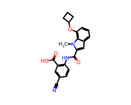 Cn1c(C(=O)Nc2ccc(C#N)cc2C(=O)O)cc2cccc(OC3CCC3)c21